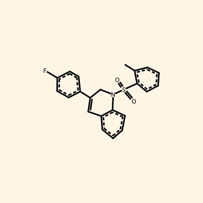 Cc1ccccc1S(=O)(=O)N1CC(c2ccc(F)cc2)=Cc2ccccc21